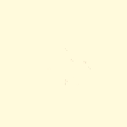 Cc1nn2ccc3nc2c1C(=O)NCCOc1ccc(F)cc1CN3C